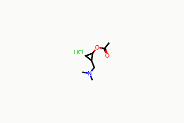 CC(=O)OC1CC1CN(C)C.Cl